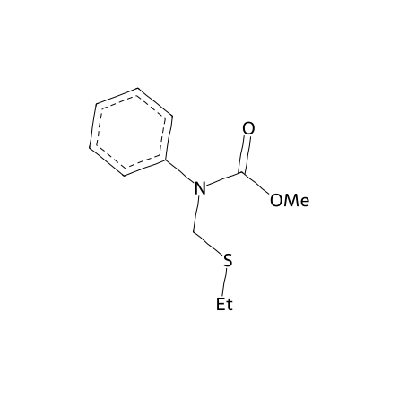 CCSCN(C(=O)OC)c1ccccc1